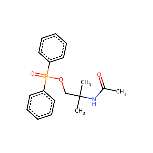 CC(=O)NC(C)(C)COP(=O)(c1ccccc1)c1ccccc1